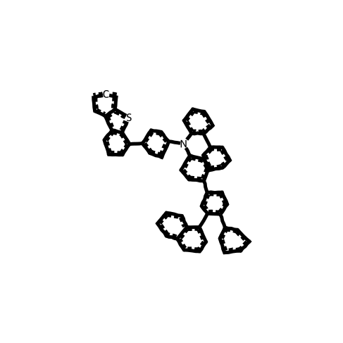 c1ccc(-c2ccc(-c3ccc(N(c4ccc(-c5cccc6c5sc5ccccc56)cc4)c4ccccc4-c4ccccc4)cc3)cc2-c2cccc3ccccc23)cc1